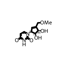 COCC1=C[C@@H](n2ccc(=O)[nH]c2=O)[C@H](O)[C@@H]1O